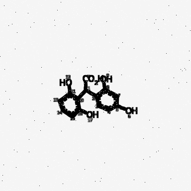 O=C(O)C(c1ccc(O)cc1O)c1c(O)cccc1O